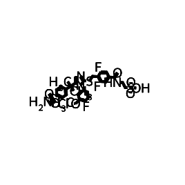 COc1cc(-n2c(C(C)(C)c3ccc(S(N)(=O)=O)c(Cl)c3)cnc2SCc2c(F)cc(C(=O)NCCS(=O)(=O)O)cc2F)ccc1F